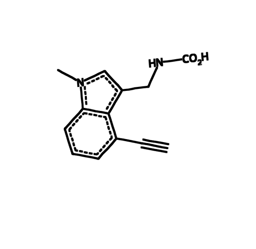 C#Cc1cccc2c1c(CNC(=O)O)cn2C